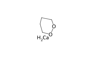 C1CCOOC1.[CaH2]